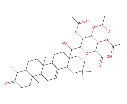 CC(=O)OC1C(C(=O)O)OC(C(O)C23CCC4C(=CCC5C4(C)CCC4C(C)C(=O)CCC45C)C2CC(C)(C)CC3)C(OC(C)=O)C1OC(C)=O